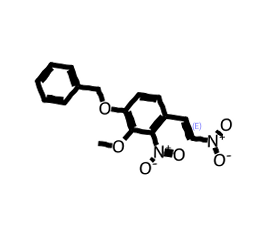 COc1c(OCc2ccccc2)ccc(/C=C/[N+](=O)[O-])c1[N+](=O)[O-]